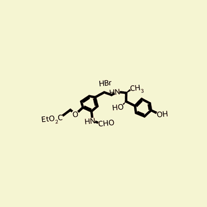 Br.CCOC(=O)COc1ccc(CCN[C@@H](C)[C@@H](O)c2ccc(O)cc2)cc1NC=O